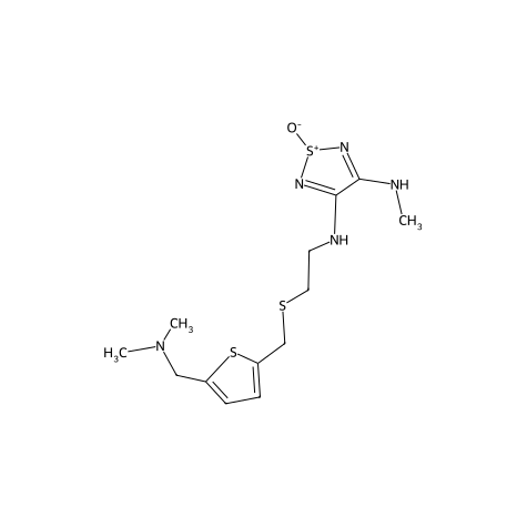 CNc1n[s+]([O-])nc1NCCSCc1ccc(CN(C)C)s1